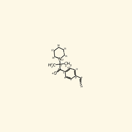 CC(C)(C(=O)c1ccc(C=S)cc1)N1CCCCC1